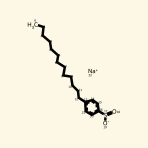 CCCCCCCCCCCCCc1ccc(S(=O)[O-])cc1.[Na+]